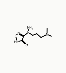 CN(C)CCCN(N)c1ns[nH]c1=O